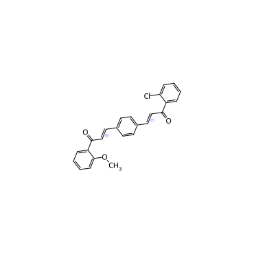 COc1ccccc1C(=O)/C=C/c1ccc(/C=C/C(=O)c2ccccc2Cl)cc1